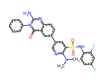 CN(C)c1ncc(-c2ccc3nc(N)n(-c4ccccc4)c(=O)c3c2)cc1S(=O)(=O)Nc1ccc(F)cc1F